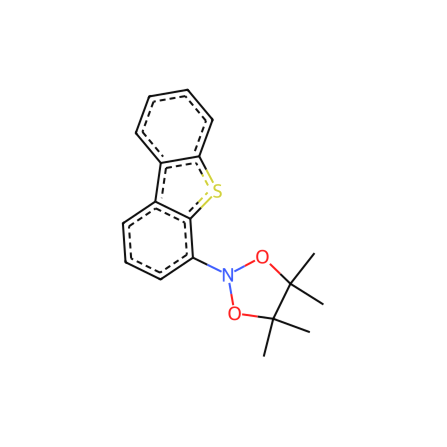 CC1(C)ON(c2cccc3c2sc2ccccc23)OC1(C)C